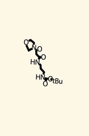 CC(C)(C)OC(=O)NCCCNC(=O)CC(=O)N1CCOCC1